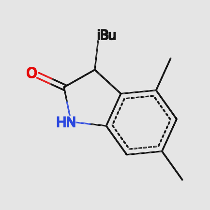 CCC(C)C1C(=O)Nc2cc(C)cc(C)c21